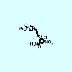 CC(C)OC(=O)N1CCN(CC#CCOc2cc(C(N)=O)cc([N+](=O)[O-])c2Cl)CC1